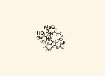 COCC1/C=C/COc2c(ccc(F)c2F)[C@@H](c2ccccc2)N2CN1C(=O)c1c(O)c(=O)ccn12